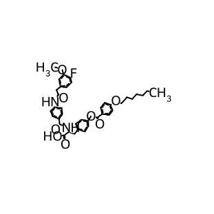 CCCCCCCOc1ccc(C(=O)Oc2ccc(C[C@H](NC(=O)c3ccc(NC(=O)Cc4ccc(F)c(OC)c4)cc3)C(=O)O)cc2)cc1